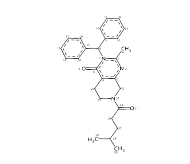 Cc1nc2c(c(=O)n1C(c1ccccc1)c1ccccc1)CCN(C(=O)CCC(C)C)C2